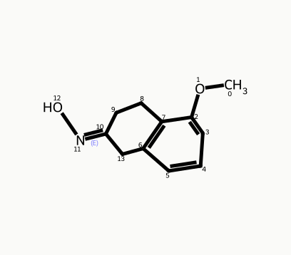 COc1cccc2c1CC/C(=N\O)C2